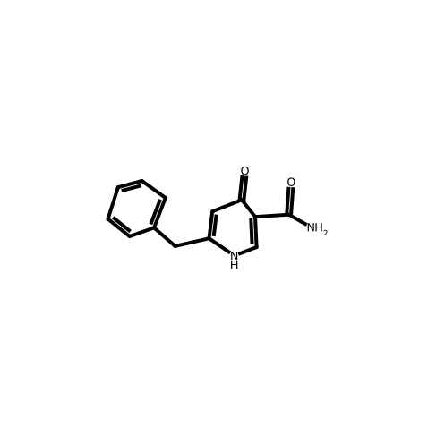 NC(=O)c1c[nH]c(Cc2ccccc2)cc1=O